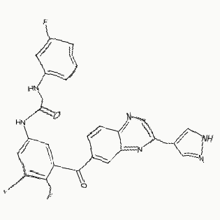 O=C(Nc1cccc(F)c1)Nc1cc(F)c(F)c(C(=O)c2ccc3ncc(-c4cn[nH]c4)nc3c2)c1